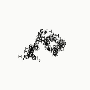 CCOC(=O)C1=NOC(c2ccccc2)(c2ccccc2)C1.CCOC(=O)[C@@H](C)Oc1ccc(Oc2nc3ccc(Cl)cc3o2)cc1.CCOc1ccccc1OS(=O)(=O)NC(=O)Nc1nc(OC)cc(OC)n1.CS(=O)(=O)c1ccc(C(=O)C2C(=O)CCCC2=O)c(Cl)c1COCC(F)(F)F